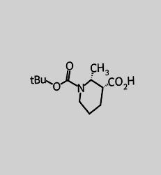 C[C@@H]1[C@H](C(=O)O)CCCN1C(=O)OC(C)(C)C